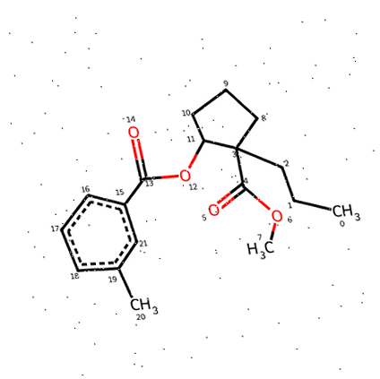 CCCC1(C(=O)OC)CCCC1OC(=O)c1cccc(C)c1